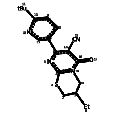 CCC1CSc2nc(-c3ccc(C(C)(C)C)nc3)c(C#N)c(=O)n2C1